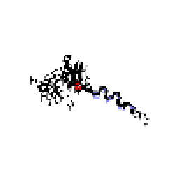 CC/C=C\C/C=C\C/C=C\C/C=C\C/C=C\C/C=C\CCC(=O)O[C@H]1C[C@H]2OC[C@@]2(OC(C)=O)[C@H]2[C@H](OC(=O)c3ccccc3)[C@]3(O)CC4(OC(=O)[C@H](C)C(NC(=O)OC(C)(C)C)c5ccccc5)C(C)=C([C@@H](O)C(=O)[C@]12C)[C@@]43C